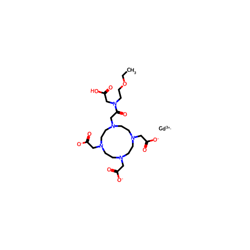 CCOCCN(CC(=O)O)C(=O)CN1CCN(CC(=O)[O-])CCN(CC(=O)[O-])CCN(CC(=O)[O-])CC1.[Gd+3]